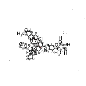 C[C@@H]1OC(Oc2ccc(CN(Cc3ccc(CC(CCN4CCOCC4)CSc4ccccc4)c(S(=O)(=O)C(F)(F)F)c3)C(=O)c3ccc(N4CCN(CC5=C(c6ccc(Cl)cc6)CCC(C)(C)C5)CC4)cc3)cc2)[C@@H](O)[C@H](O)[C@@H]1O